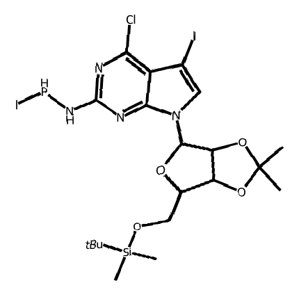 CC1(C)OC2C(CO[Si](C)(C)C(C)(C)C)OC(n3cc(I)c4c(Cl)nc(NPI)nc43)C2O1